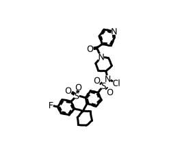 O=C(c1ccncc1)N1CCC(N(Cl)S(=O)(=O)c2ccc3c(c2)S(=O)(=O)c2cc(F)ccc2C32CCCCC2)CC1